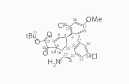 COc1ccc([C@@H]2C=C[C@@](C)(C(=O)C(=O)OC(C)(C)C)[C@@H]([C@@H](C)N)[C@H]2c2ccc(Cl)cc2)c(Cl)c1